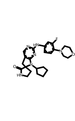 O=C1NCCC12Cc1cnc(Nc3ccc(N4CCOCC4)c(F)c3)nc1N2C1CCCC1